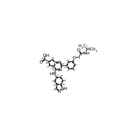 CC(C)NC(=O)COc1cccc(-c2nc(Nc3ccc4[nH]ncc4c3)c3cc(C(=O)O)cn3n2)c1